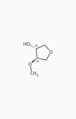 CO[C@@H]1COC[C@H]1O